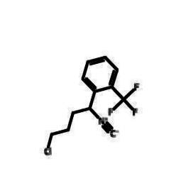 [C-]#[N+]C(CCCCl)c1ccccc1C(F)(F)F